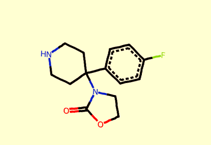 O=C1OCCN1C1(c2ccc(F)cc2)CCNCC1